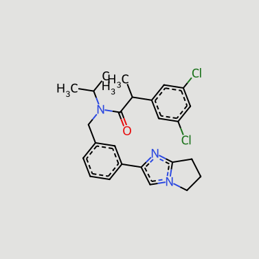 CC(C(=O)N(Cc1cccc(-c2cn3c(n2)CCC3)c1)C(C)C)c1cc(Cl)cc(Cl)c1